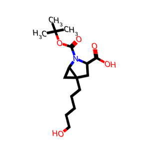 CC(C)(C)OC(=O)N1C(C(=O)O)CC2(CCCCCO)CC12